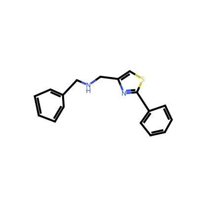 c1ccc(CNCc2csc(-c3ccccc3)n2)cc1